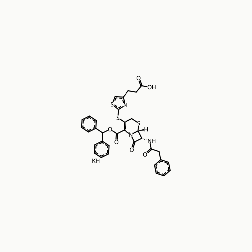 O=C(O)CCc1csc(SC2=C(C(=O)OC(c3ccccc3)c3ccccc3)N3C(=O)[C@@H](NC(=O)Cc4ccccc4)[C@H]3SC2)n1.[KH]